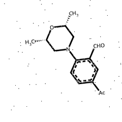 CC(=O)c1ccc(N2C[C@@H](C)O[C@@H](C)C2)c(C=O)c1